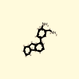 NCc1cc(-c2cccc3c2Cc2ccccc2-3)ccc1N